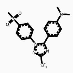 CN(C)c1ccc(-c2nc(C(F)(F)F)nn2-c2ccc(S(C)(=O)=O)cc2)cc1